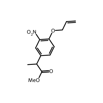 C=CCOc1ccc(C(C)C(=O)OC)cc1[N+](=O)[O-]